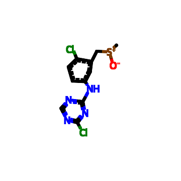 C[S+]([O-])Cc1cc(Nc2ncnc(Cl)n2)ccc1Cl